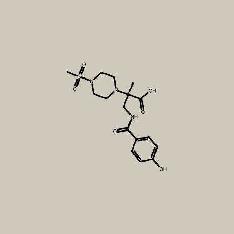 C[C@](CNC(=O)c1ccc(O)cc1)(C(=O)O)N1CCN(S(C)(=O)=O)CC1